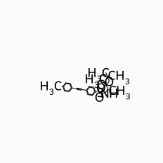 Cc1ccc(C#Cc2ccc(S(=O)(=O)N[C@@H](C)C(=O)OC(C)(C)C)cc2)cc1